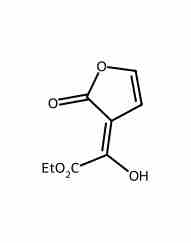 CCOC(=O)C(O)=C1C=COC1=O